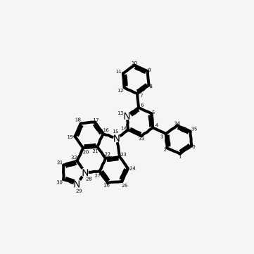 c1ccc(-c2cc(-c3ccccc3)nc(-n3c4cccc5c4c4c3cccc4n3nccc53)c2)cc1